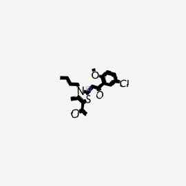 CCCCN1C(C)=C(C(C)=O)S/C1=C\C(=O)c1cc(Cl)ccc1OC